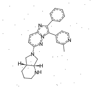 Cc1cc(-c2c(-c3ccccc3)nc3ccc(N4C[C@H]5CCCN[C@H]5C4)nn23)ccn1